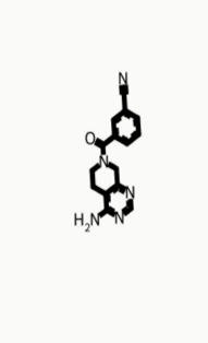 N#Cc1cccc(C(=O)N2CCc3c(N)ncnc3C2)c1